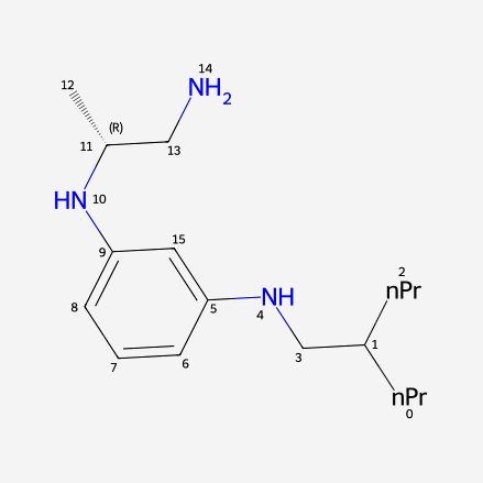 CCCC(CCC)CNc1cccc(N[C@H](C)CN)c1